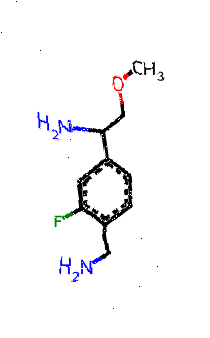 COCC(N)c1ccc(CN)c(F)c1